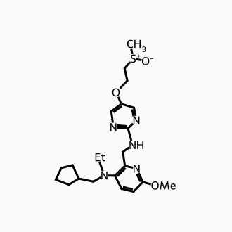 CCN(CC1CCCC1)c1ccc(OC)nc1CNc1ncc(OCC[S+](C)[O-])cn1